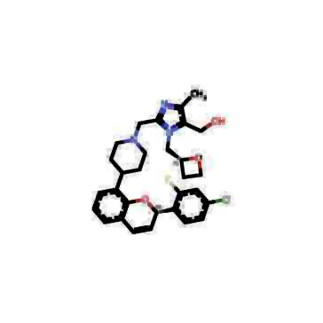 Cc1nc(CN2CCC(c3cccc4c3O[C@@H](c3ccc(Cl)cc3F)C=C4)CC2)n(C[C@@H]2CCO2)c1CO